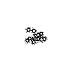 c1ccc(-c2cccc(-c3nc(-n4c5ccc6ccccc6c5c5cccc(-c6ccc7c(c6)Sc6ccccc6N7c6ccccc6)c54)nc4ccccc34)c2)cc1